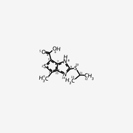 Cc1sc(C(=O)O)c2[nH]c(SC(C)C)nc12